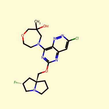 CC1(O)COCCN(c2nc(OC[C@@]34CCCN3C[C@H](F)C4)nc3cc(Cl)nnc23)C1